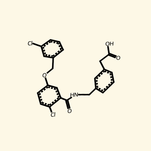 O=C(O)Cc1cccc(CNC(=O)c2cc(OCc3cccc(Cl)c3)ccc2Cl)c1